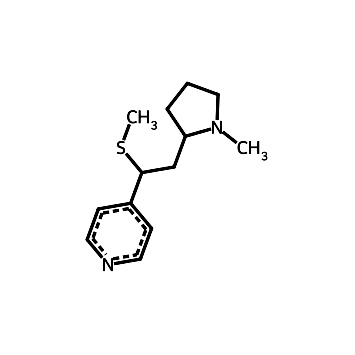 CSC(CC1CCCN1C)c1ccncc1